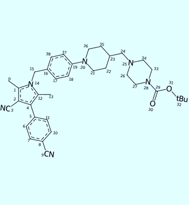 Cc1c(C#N)c(-c2ccc(C#N)cc2)c(C)n1Cc1ccc(N2CCC(CN3CCN(C(=O)OC(C)(C)C)CC3)CC2)cc1